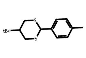 Cc1ccc(C2SCC(C(C)(C)C)CS2)cc1